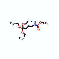 CCO[Si](CCCNC(=O)OC)(OCC)OCC